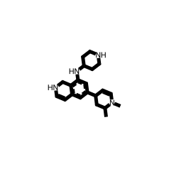 CC1CC(c2cc3c(c(NC4CCNCC4)c2)CNC=C3)C=CN1C